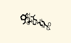 CCc1cccc(C)c1NC(=O)N1CCN(c2cnc(C(=O)OC)cn2)CC1C(C)C